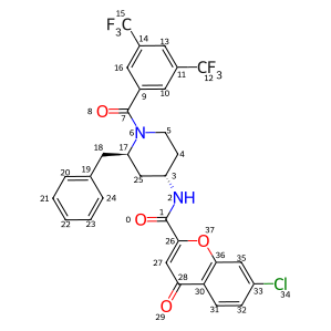 O=C(N[C@H]1CCN(C(=O)c2cc(C(F)(F)F)cc(C(F)(F)F)c2)[C@H](Cc2ccccc2)C1)c1cc(=O)c2ccc(Cl)cc2o1